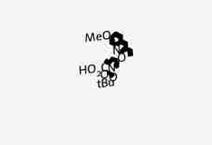 C=Cc1cc2ccc(OC)cc2nc1OC1CN(C(=O)OC(C)(C)C)C(C)(C(=O)O)C1